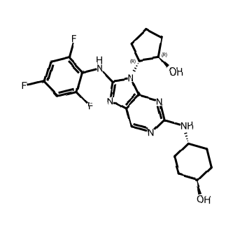 O[C@@H]1CCC[C@H]1n1c(Nc2c(F)cc(F)cc2F)nc2cnc(N[C@H]3CC[C@H](O)CC3)nc21